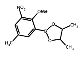 COc1c(B2OC(C)C(C)O2)cc(C)cc1[N+](=O)[O-]